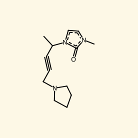 CC(C#CCN1CCCC1)n1ccn(C)c1=O